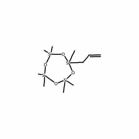 C=CC[Si]1(C)O[Si](C)(C)O[Si](C)(C)O[Si](C)(C)O1